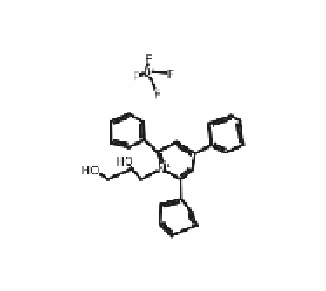 F[B-](F)(F)F.OCC(O)C[n+]1c(-c2ccccc2)cc(-c2ccccc2)cc1-c1ccccc1